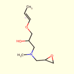 C/C=C/OCC(O)CN(C)CC1CO1